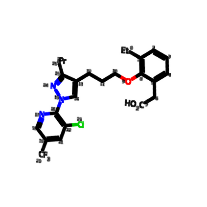 CCc1cccc(CC(=O)O)c1OCCCc1cn(-c2ncc(C(F)(F)F)cc2Cl)nc1C(C)C